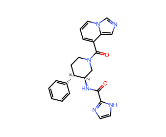 O=C(N[C@@H]1CN(C(=O)c2cccn3cncc23)CC[C@H]1c1ccccc1)c1ncc[nH]1